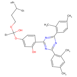 CCCC(CC)CCOC(O)(CC)Oc1ccc(-c2nc(-c3ccc(C)cc3C)nc(-c3ccc(C)cc3C)n2)c(O)c1